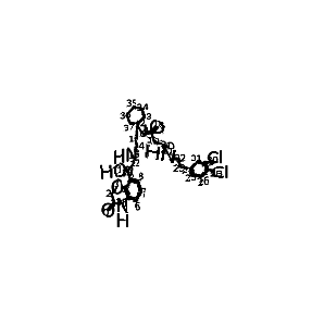 O=C1COc2c(cccc2[C@@H](O)CNCCN(C(=O)CCNCCc2ccc(Cl)c(Cl)c2)C2CCCCC2)N1